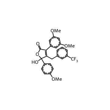 COc1ccc(C2(O)OC(=O)C(c3cc(OC)cc(OC)c3)=C2Cc2cccc(C(F)(F)F)c2)cc1